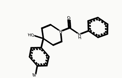 O=C(Nc1ccccc1)N1CCC(O)(c2ccc(Br)cc2)CC1